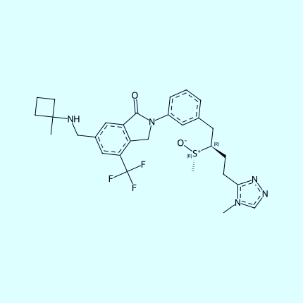 Cn1cnnc1CC[C@H](Cc1cccc(N2Cc3c(cc(CNC4(C)CCC4)cc3C(F)(F)F)C2=O)c1)[S@+](C)[O-]